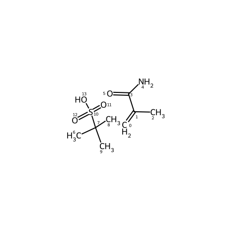 C=C(C)C(N)=O.CC(C)(C)S(=O)(=O)O